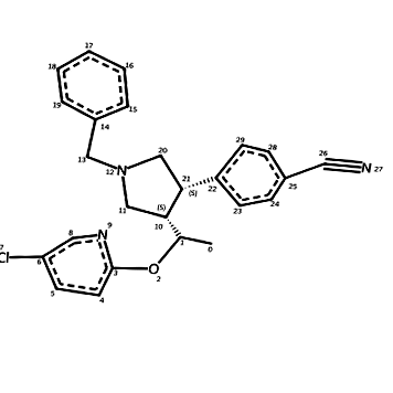 CC(Oc1ccc(Cl)cn1)[C@@H]1CN(Cc2ccccc2)C[C@@H]1c1ccc(C#N)cc1